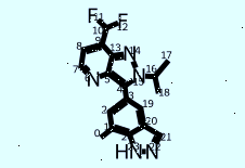 Cc1cc(-c2c3nccc(C(F)F)c3nn2C(C)C)cc2cn[nH]c12